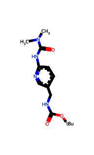 CN(C)C(=O)Nc1ccc(CNC(=O)OC(C)(C)C)cn1